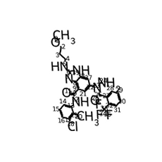 COCCCNc1nc2c(C(=O)Nc3cccc(Cl)c3C)cc(N(N)C(=O)c3ccccc3C(F)(F)F)cc2[nH]1